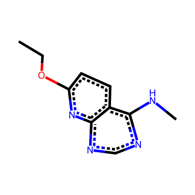 CCOc1ccc2c(NC)ncnc2n1